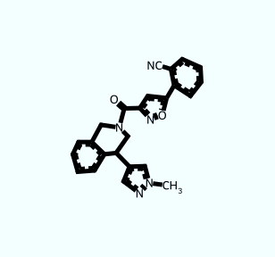 Cn1cc(C2CN(C(=O)c3cc(-c4ccccc4C#N)on3)Cc3ccccc32)cn1